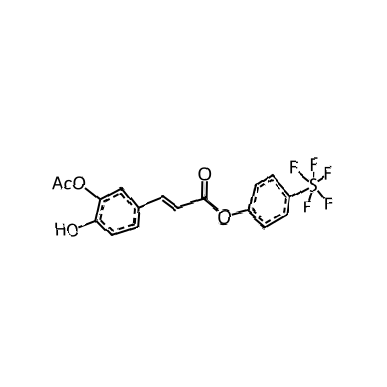 CC(=O)Oc1cc(/C=C/C(=O)Oc2ccc(S(F)(F)(F)(F)F)cc2)ccc1O